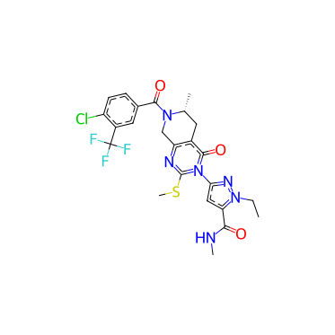 CCn1nc(-n2c(SC)nc3c(c2=O)C[C@@H](C)N(C(=O)c2ccc(Cl)c(C(F)(F)F)c2)C3)cc1C(=O)NC